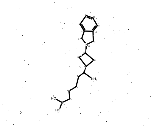 NC(CCCCB(O)O)[C@H]1C[C@@H](N2Cc3ccccc3C2)C1